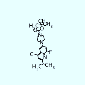 CC(C)c1cc(Cl)c2cc(N3CCN(C(=O)OC(C)(C)C)CC3)cc(F)c2n1